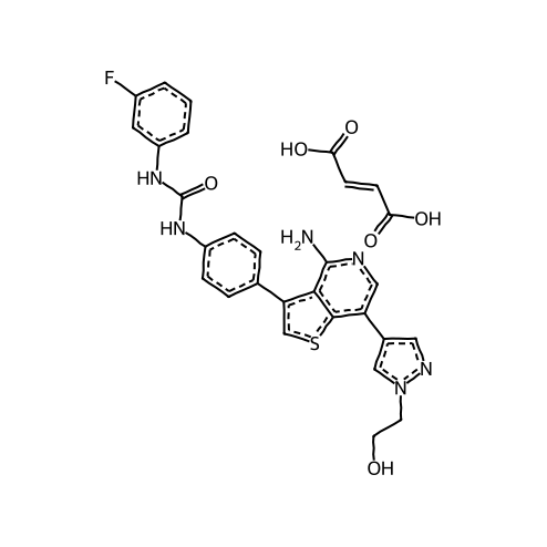 Nc1ncc(-c2cnn(CCO)c2)c2scc(-c3ccc(NC(=O)Nc4cccc(F)c4)cc3)c12.O=C(O)C=CC(=O)O